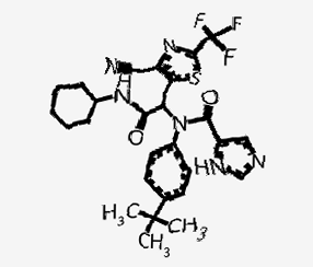 CC(C)(C)c1ccc(N(C(=O)c2cnc[nH]2)C(C(=O)NC2CCCCC2)c2sc(C(F)(F)F)nc2C#N)cc1